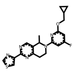 CC1c2cnc(-c3cscn3)nc2CCN1c1cc(F)cc(OCC2CC2)n1